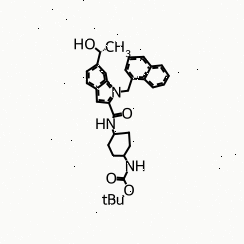 C[C@@H](O)c1ccc2cc(C(=O)NC3CCC(NC(=O)OC(C)(C)C)CC3)n(Cc3cccc4ccccc34)c2c1